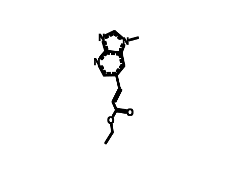 CCOC(=O)/C=C/c1cnc2ncn(C)c2c1